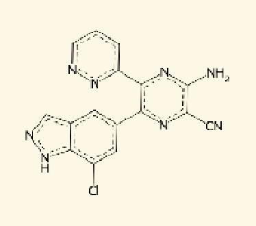 N#Cc1nc(-c2cc(Cl)c3[nH]ncc3c2)c(-c2cccnn2)nc1N